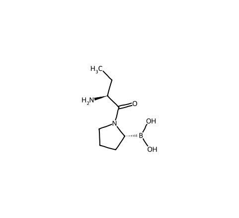 CC[C@H](N)C(=O)N1CCC[C@H]1B(O)O